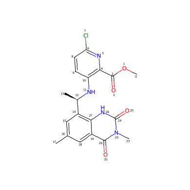 COC(=O)c1nc(Cl)ccc1N[C@H](C)c1cc(C)cc2c(=O)n(C)c(=O)[nH]c12